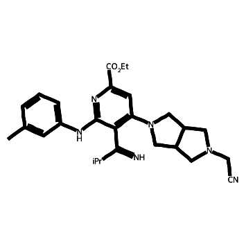 CCOC(=O)c1cc(N2CC3CN(CC#N)CC3C2)c(C(=N)C(C)C)c(Nc2cccc(C)c2)n1